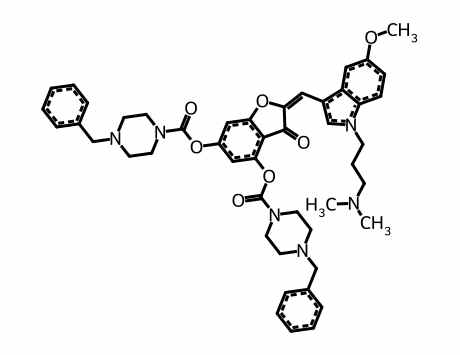 COc1ccc2c(c1)c(C=C1Oc3cc(OC(=O)N4CCN(Cc5ccccc5)CC4)cc(OC(=O)N4CCN(Cc5ccccc5)CC4)c3C1=O)cn2CCCN(C)C